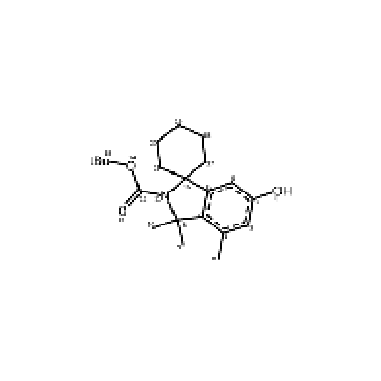 Cc1cc(O)cc2c1C(C)(C)N(C(=O)OC(C)(C)C)C21CCCCC1